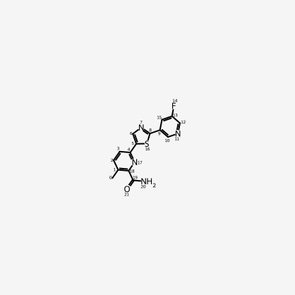 Cc1ccc(-c2cnc(-c3cncc(F)c3)s2)nc1C(N)=O